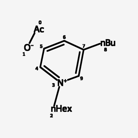 CC(=O)[O-].CCCCCC[n+]1cccc(CCCC)c1